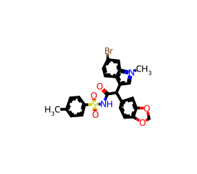 Cc1ccc(S(=O)(=O)NC(=O)C(c2ccc3c(c2)OCO3)c2cn(C)c3cc(Br)ccc23)cc1